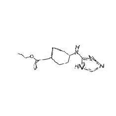 CCOC(=O)C1CCC(Nc2nnc[nH]2)CC1